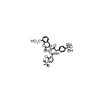 CS(=O)(=O)N1CCN(C(=O)N[C@H](C(=O)N[C@H]2Cc3cccc(C(=O)O)c3OB2O)c2ccc(P(=O)(O)O)cc2)C1=O